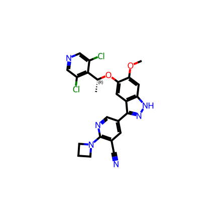 COc1cc2[nH]nc(-c3cnc(N4CCC4)c(C#N)c3)c2cc1O[C@H](C)c1c(Cl)cncc1Cl